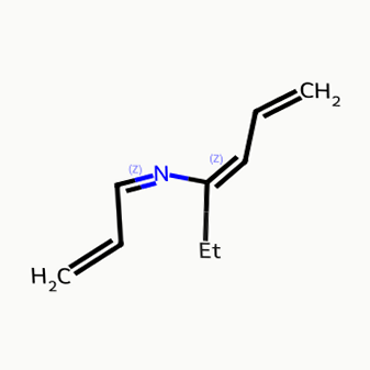 C=C/C=N\C(=C/C=C)CC